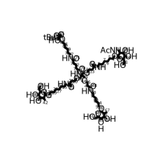 CC(=O)NC1[C@H](OCCCCCCNC(=O)CCOCC(COCCC(=O)NCCCCCCO[C@@H]2OC(CO)[C@H](O)[C@H](O)C2C)(COCCC(=O)NCCCCCCO[C@@H]2OC(CO)[C@H](O)[C@H](O)C2C)NC(=O)CCCC(=O)NCCCCCCOP(=O)(O)OC(C)(C)C)OC(CO)[C@H](O)[C@@H]1O